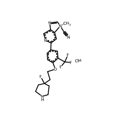 C[N+]1(C#N)C=Nc2cnc(-c3ccc(OCCC4(F)CCNCC4)c(C(F)(F)F)c3)cc21.Cl